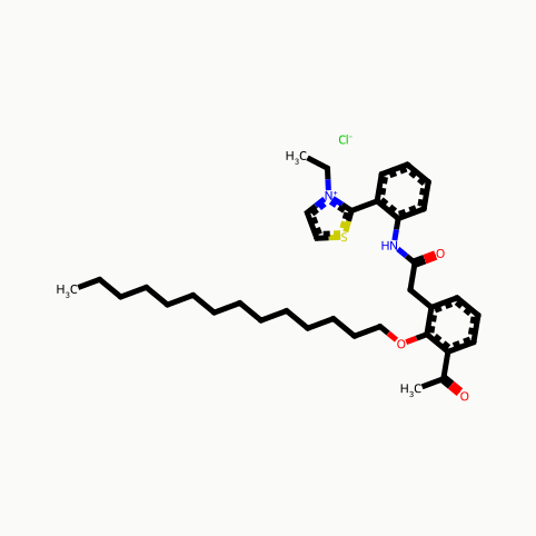 CCCCCCCCCCCCCCOc1c(CC(=O)Nc2ccccc2-c2scc[n+]2CC)cccc1C(C)=O.[Cl-]